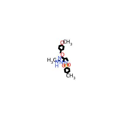 CNc1nc(OCc2ccc(OC)cc2)c2ccn(S(=O)(=O)c3ccc(C)cc3)c2n1